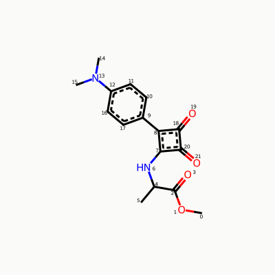 COC(=O)C(C)Nc1c(-c2ccc(N(C)C)cc2)c(=O)c1=O